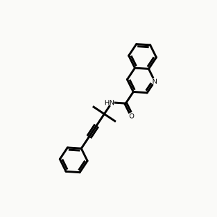 CC(C)(C#Cc1ccccc1)NC(=O)c1cnc2ccccc2c1